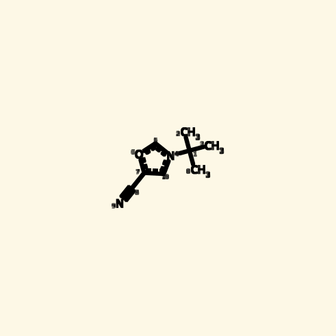 CC(C)(C)[n+]1coc(C#N)c1